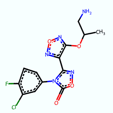 CC(CN)Oc1nonc1-c1noc(=O)n1-c1ccc(F)c(Cl)c1